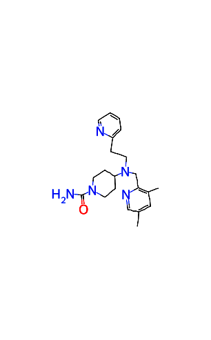 Cc1cnc(CN(CCc2ccccn2)C2CCN(C(N)=O)CC2)c(C)c1